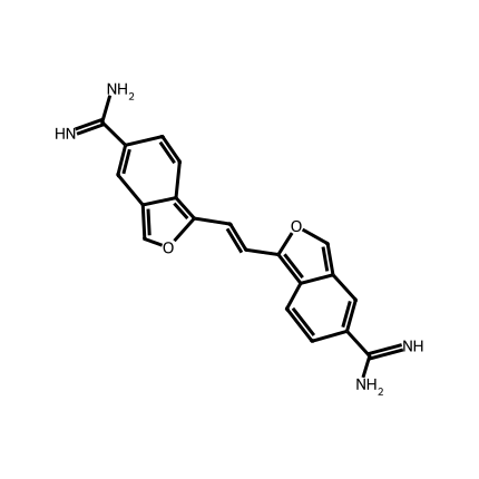 N=C(N)c1ccc2c(C=Cc3occ4cc(C(=N)N)ccc34)occ2c1